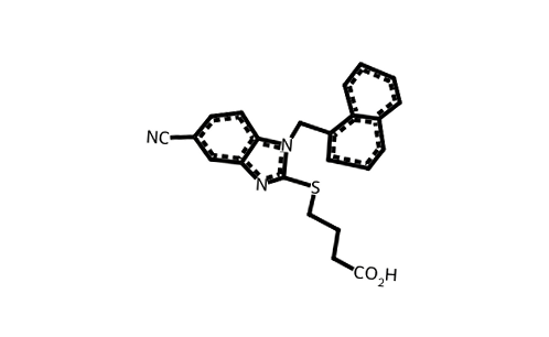 N#Cc1ccc2c(c1)nc(SCCCC(=O)O)n2Cc1cccc2ccccc12